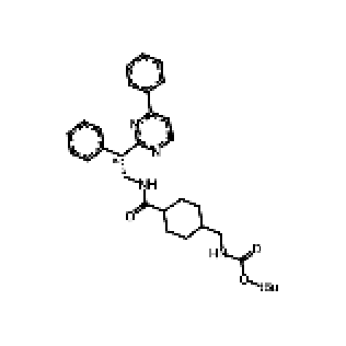 CC(C)(C)OC(=O)NCC1CCC(C(=O)NC[C@H](c2ccccc2)c2nccc(-c3ccccc3)n2)CC1